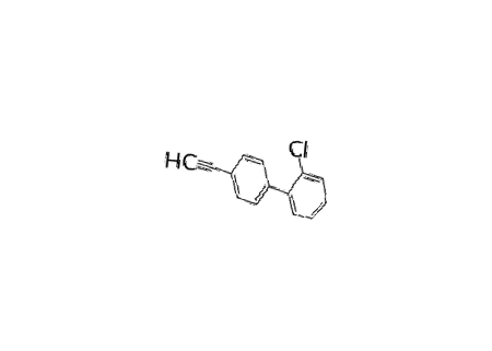 C#Cc1ccc(-c2ccccc2Cl)cc1